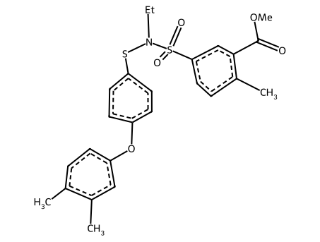 CCN(Sc1ccc(Oc2ccc(C)c(C)c2)cc1)S(=O)(=O)c1ccc(C)c(C(=O)OC)c1